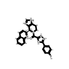 O=C(c1nnc(-c2ccc(F)cc2)o1)N1CCc2[nH]cnc2[C@@H]1c1ccc2ccccc2n1